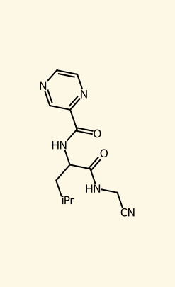 CC(C)CC(NC(=O)c1cnccn1)C(=O)NCC#N